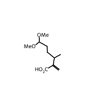 C=C(C(=O)O)C(C)CCC(OC)OC